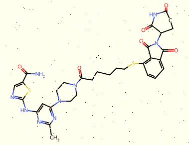 Cc1nc(Nc2ncc(C(N)=O)s2)cc(N2CCN(C(=O)CCCCCSc3cccc4c3C(=O)N(C3CCC(=O)NC3=O)C4=O)CC2)n1